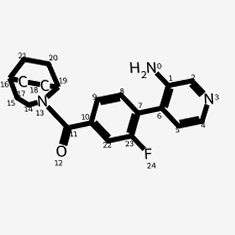 Nc1cnccc1-c1ccc(C(=O)N2CCC3CCC2CC3)cc1F